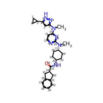 CN(c1cc(C2CC2)[nH]n1)c1ccnc(N(C)[C@H]2CC[C@H](NC(=O)C3Cc4ccccc4C3)CC2)n1